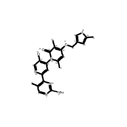 CCCCc1ncc(C)c(-c2cc(-n3c(C)cc(OCc4csc(C)c4)c(C)c3=O)c(Cl)cn2)n1